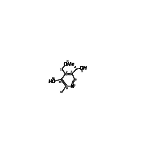 COCc1c(CO)cnc(C)c1O